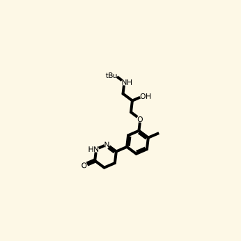 Cc1ccc(C2=NNC(=O)CC2)cc1OCC(O)CNC(C)(C)C